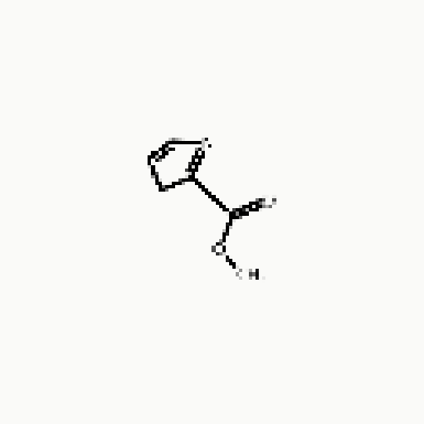 COC(=O)C1=NC=CC1